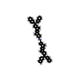 CC1(C)c2cc(/C=C/c3ccc4c(c3)C(C)(C)c3cc5c(cc3-4)C(C)(C)c3cc(N(c4ccc6ccccc6c4)c4ccc6ccccc6c4)ccc3-5)ccc2-c2cc3c(cc21)-c1ccc(N(c2ccc4ccccc4c2)c2ccc4ccccc4c2)cc1C3(C)C